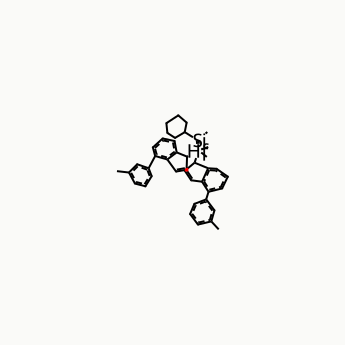 Cc1cccc(-c2cccc3c2C=C[CH]3[Hf]([CH3])([CH3])([CH]2C=Cc3c(-c4cccc(C)c4)cccc32)=[Si](C)C2CCCCC2)c1